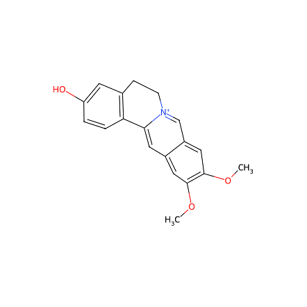 COc1cc2cc3[n+](cc2cc1OC)CCc1cc(O)ccc1-3